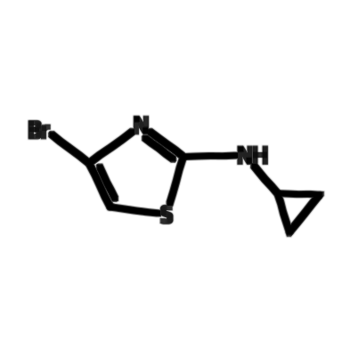 Brc1csc(NC2CC2)n1